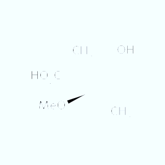 CC(=O)O.CO[C@H](C)CO